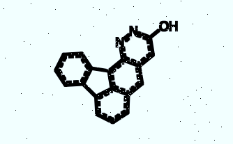 Oc1cc2cc3cccc4c3c(c2nn1)-c1ccccc1-4